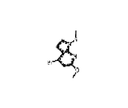 COc1cc(Br)c2ccn(SI)c2n1